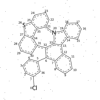 Clc1cccc(-c2c3ccccc3c3c4ccccc4n4c5cccc6sc7cccc(c2c34)c7c65)c1